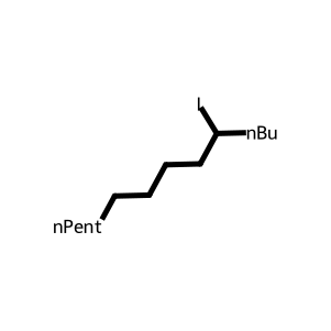 CCCCCCCCCC(I)CCCC